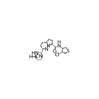 O=C(Nc1cscc1Cl)c1ccc2ccc(N3C[C@@H]4CCC3CN4)nn12